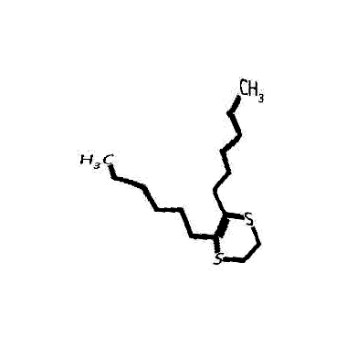 CCCCCCC1=C(CCCCCC)SCCS1